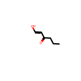 CCCC(=O)C=CO